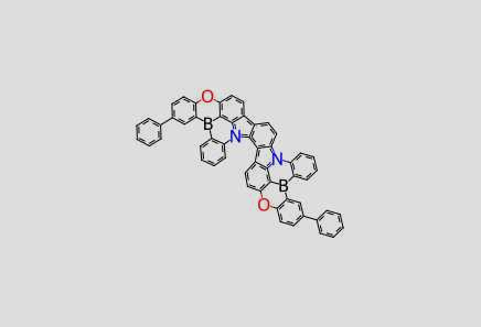 c1ccc(-c2ccc3c(c2)B2c4ccccc4-n4c5ccc6c7ccc8c9c7n(c6c5c5ccc(c2c54)O3)-c2ccccc2B9c2cc(-c3ccccc3)ccc2O8)cc1